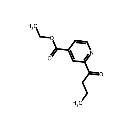 CCCC(=O)c1cc(C(=O)OCC)ccn1